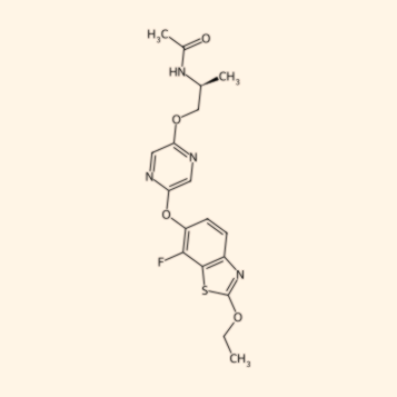 CCOc1nc2ccc(Oc3cnc(OC[C@H](C)NC(C)=O)cn3)c(F)c2s1